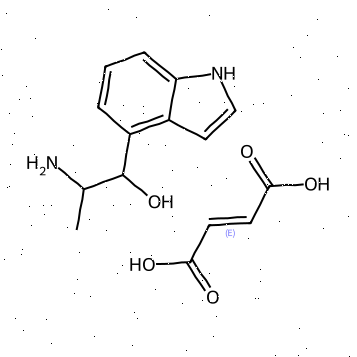 CC(N)C(O)c1cccc2[nH]ccc12.O=C(O)/C=C/C(=O)O